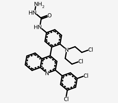 NNC(=O)Nc1ccc(N(CCCl)CCCl)c(-c2cc(-c3cc(Cl)cc(Cl)c3)nc3ccccc23)c1